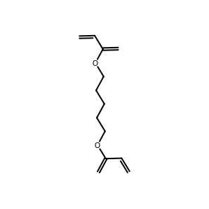 C=CC(=C)OCCCCCOC(=C)C=C